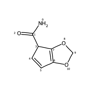 NC(=O)C1C=CC2=C1OCO2